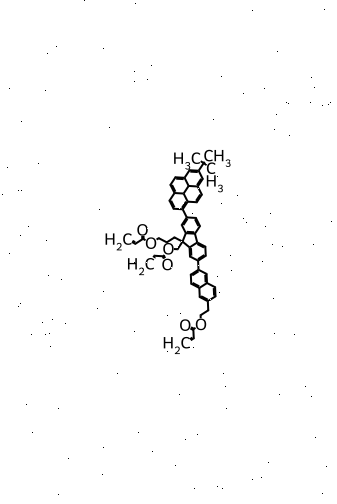 C=CC(=O)OCCCC1(COC(=O)C=C)c2cc(C3=C4C=CC5=CC(C(C)(C)C)=CC6=CC=C(C=C3)C4C65)ccc2-c2ccc(-c3ccc4cc(CCOC(=O)C=C)ccc4c3)cc21